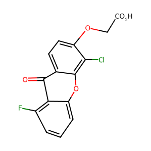 O=C(O)COc1ccc2c(=O)c3c(F)cccc3oc2c1Cl